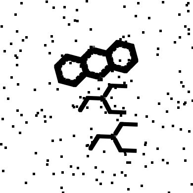 CCN(CC)CC.CCN(CC)CC.c1ccc2nc3ccccc3nc2c1